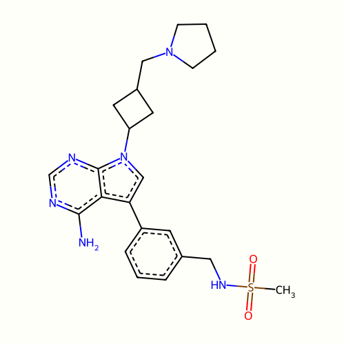 CS(=O)(=O)NCc1cccc(-c2cn(C3CC(CN4CCCC4)C3)c3ncnc(N)c23)c1